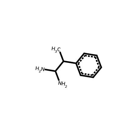 CC(c1ccccc1)C(N)N